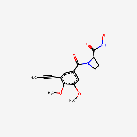 CC#Cc1cc(C(=O)N2CC[C@@H]2C(=O)NO)cc(OC)c1OC